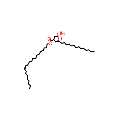 CCCCCCCC/C=C\CCCCCCCCCCCCOC(=O)C(C=CCCCCCCCCCCCCCC)CC(=O)O